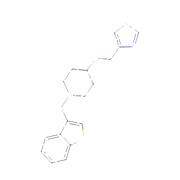 c1ccc2c(CN3CCC(OCc4c[nH]cn4)CC3)csc2c1